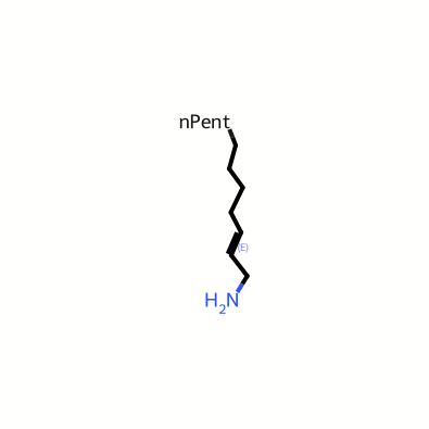 CCCCCCCCC/C=C/CN